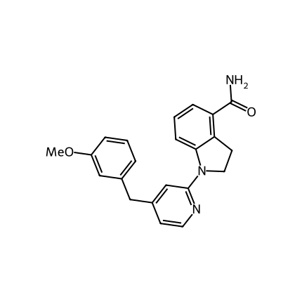 COc1cccc(Cc2ccnc(N3CCc4c(C(N)=O)cccc43)c2)c1